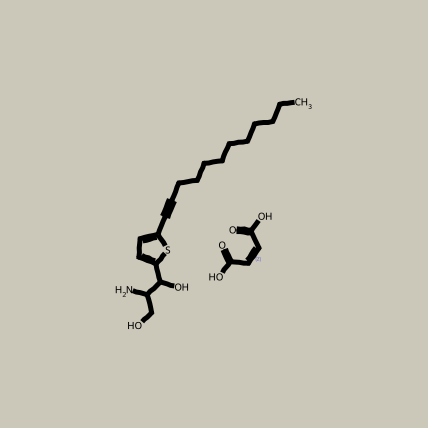 CCCCCCCCCCC#Cc1ccc(C(O)C(N)CO)s1.O=C(O)/C=C\C(=O)O